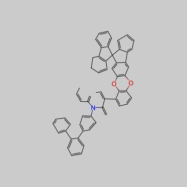 C=C(/C=C\C)N(C(=C)/C(=C\C)c1cccc2c1Oc1cc3c(cc1O2)-c1ccccc1C31C2=C(CCC=C2)c2ccccc21)c1ccc(-c2ccccc2-c2ccccc2)cc1